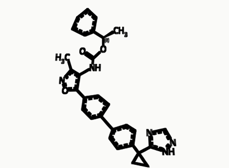 Cc1noc(-c2ccc(-c3ccc(C4(c5ncn[nH]5)CC4)cc3)cc2)c1NC(=O)O[C@H](C)c1ccccc1